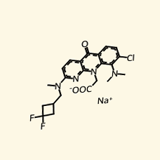 CN(C)c1c(Cl)ccc2c(=O)c3ccc(N(C)CC4CC(F)(F)C4)nc3n(CC(=O)[O-])c12.[Na+]